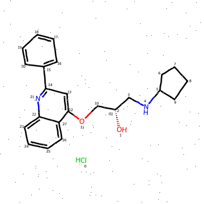 Cl.O[C@@H](CNC1CCCC1)COc1cc(-c2ccccc2)nc2ccccc12